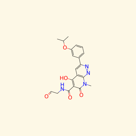 CC(C)Oc1cccc(-c2cc3c(O)c(C(=O)NCC=O)c(=O)n(C)c3nn2)c1